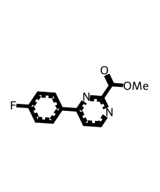 COC(=O)c1nccc(-c2ccc(F)cc2)n1